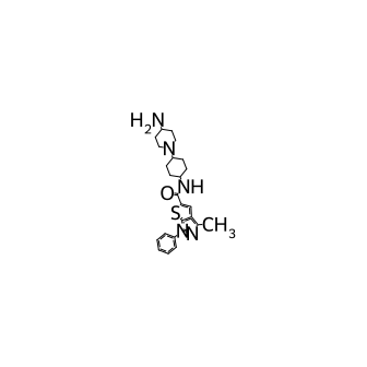 Cc1nn(-c2ccccc2)c2sc(C(=O)NC3CCC(N4CCC(N)CC4)CC3)cc12